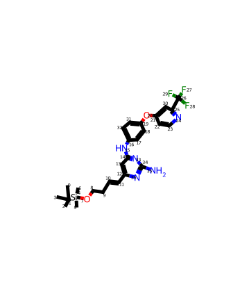 CC(C)(C)[Si](C)(C)OCC/C=C/c1cc(Nc2ccc(Oc3ccnc(C(F)(F)F)c3)cc2)nc(N)n1